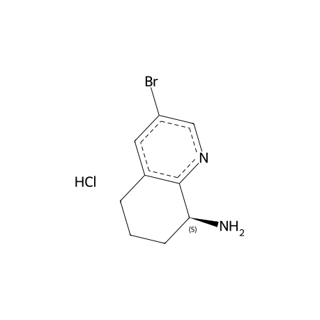 Cl.N[C@H]1CCCc2cc(Br)cnc21